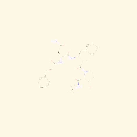 CC(C)(C)NC(=O)[C@@H]1[C@@H](O)CCN1C(=O)[C@@H](O)[C@H](Cc1ccccc1)NC(=O)[C@H](CC(N)=O)NC(=O)OCc1ccccc1